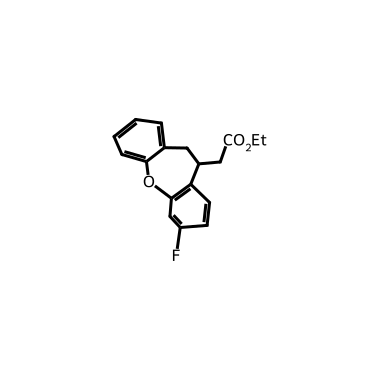 CCOC(=O)CC1Cc2ccccc2Oc2cc(F)ccc21